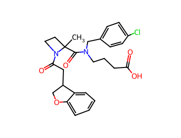 CC1(C(=O)N(CCCC(=O)O)Cc2ccc(Cl)cc2)CCN1C(=O)CC1COc2ccccc21